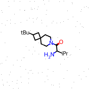 CC(C)C(N)C(=O)N1CCC2(CC1)CC(C(C)(C)C)C2